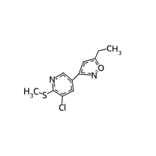 CCc1cc(-c2cnc(SC)c(Cl)c2)no1